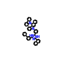 C1=CCC(c2cccc(C3N=C(C4=CC=CC5C=CC=CC45)NC(c4cccc(N5C6=CC7=CC=CCC7C(N7C8=C(C=CCC8)C8C=CC=CC87)C6c6ccccc65)c4)N3)c2)C=C1